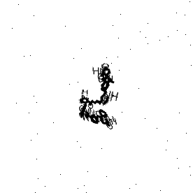 Cc1nn(C2CCC(=O)NC2=O)c(=O)c2ccc(C3CN(CCCCC(=O)C4CNCCC4COc4ccnc(-c5cccc(CC6(C7(C#N)C=CC=CC7)C=CC(=O)NN6)c5)n4)CCN3)cc12